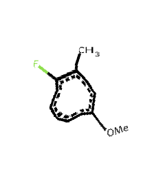 [CH2]Oc1ccc(F)c(C)c1